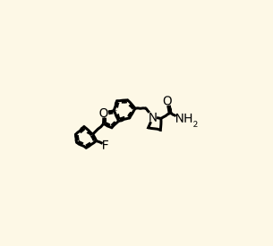 NC(=O)C1CCN1Cc1ccc2oc(-c3ccccc3F)cc2c1